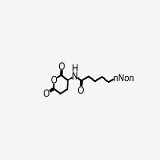 CCCCCCCCCCCCCC(=O)N[C@H]1CCC(=O)OC1=O